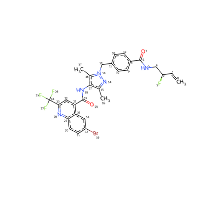 C=C[C@@H](F)CNC(=O)c1ccc(Cn2nc(C)c(NC(=O)c3cc(C(F)(F)F)nc4ccc(Br)cc34)c2C)cc1